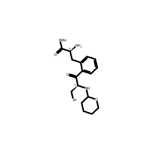 CNC(=O)[C@@H](N)Cc1ccccc1C(=O)[C@H](CC(C)C)NC1CCCCO1